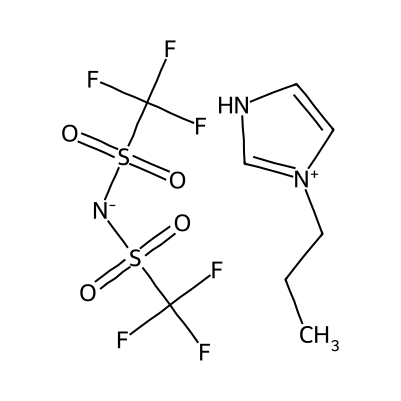 CCC[n+]1cc[nH]c1.O=S(=O)([N-]S(=O)(=O)C(F)(F)F)C(F)(F)F